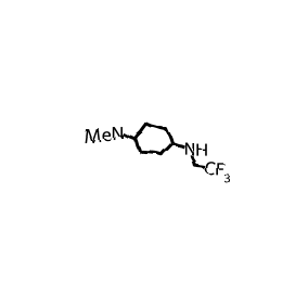 CNC1CCC(NCC(F)(F)F)CC1